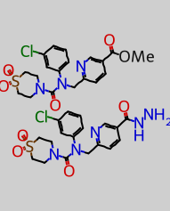 COC(=O)c1ccc(CN(C(=O)N2CCS(=O)(=O)CC2)c2cccc(Cl)c2)nc1.NNC(=O)c1ccc(CN(C(=O)N2CCS(=O)(=O)CC2)c2cccc(Cl)c2)nc1